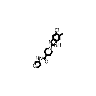 Cc1cc2[nH]c(N3CCC(C(=O)N[C@@H]4CCOC4)CC3)nc2cc1Cl